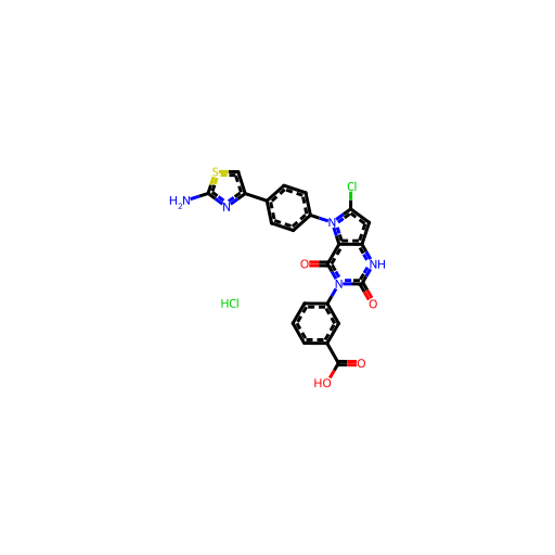 Cl.Nc1nc(-c2ccc(-n3c(Cl)cc4[nH]c(=O)n(-c5cccc(C(=O)O)c5)c(=O)c43)cc2)cs1